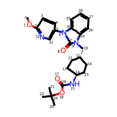 COc1ccc(-n2c(=O)n(C[C@H]3CC[C@H](NC(=O)OC(C)(C)C)CC3)c3ccccc32)cn1